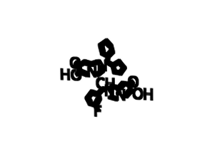 CC(c1cccc(F)c1)N1CCn2cc(O)c(=O)cc2C1.O=c1cc2n(cc1O)CCN(C(c1ccccc1)C1CCCC1)C2